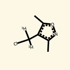 [2H]C([2H])(Cl)c1c(C)noc1C